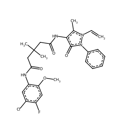 C=Cn1c(C)c(NC(=O)CC(C)(C)CC(=O)Nc2cc(Cl)c(F)cc2OC)c(=O)n1-c1ccccc1